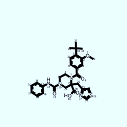 COc1cc(C(=O)N2CCN(C(=O)Nc3ccccc3)CC2(Cc2cscn2)C(=O)O)ccc1C(C)(C)C